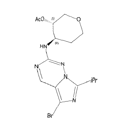 CC(=O)O[C@@H]1COCC[C@H]1Nc1ncc2c(Br)nc(C(C)C)n2n1